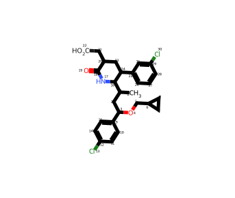 CC(CC(OCC1CC1)c1ccc(Cl)cc1)C1NC(=O)C(CC(=O)O)CC1c1cccc(Cl)c1